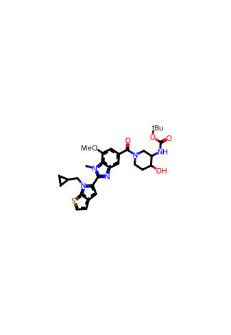 COc1cc(C(=O)N2CCC(O)C(NC(=O)OC(C)(C)C)C2)cc2nc(-c3cc4ccsc4n3CC3CC3)n(C)c12